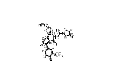 CCCN(C)Cc1cn(CC(=O)N2CCC(F)C2)c(=O)c2c(-c3ccc(F)c(C(F)(F)F)c3)csc12